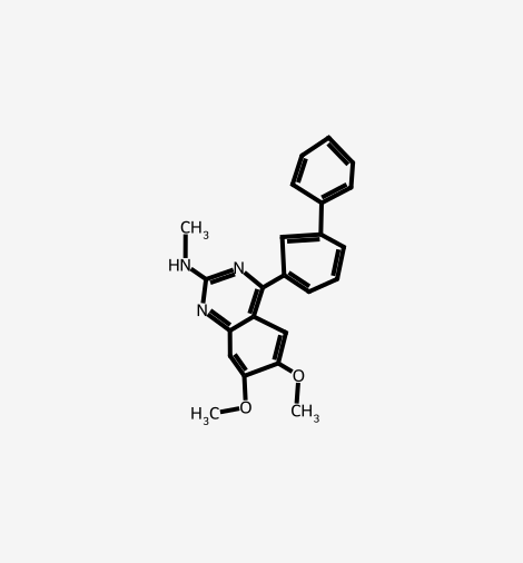 CNc1nc(-c2cccc(-c3ccccc3)c2)c2cc(OC)c(OC)cc2n1